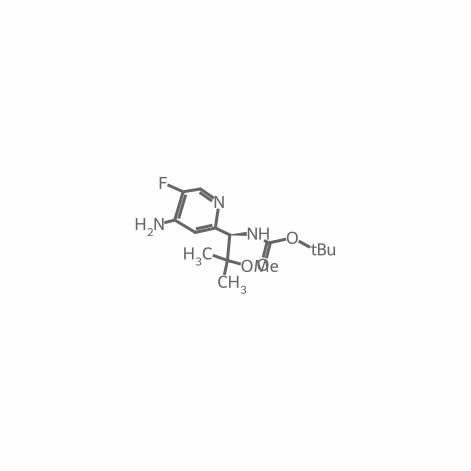 COC(C)(C)[C@H](NC(=O)OC(C)(C)C)c1cc(N)c(F)cn1